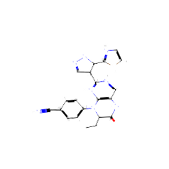 CCC1C(=O)Nc2cnc(C3C=NNC3c3nccs3)nc2N1c1ccc(C#N)cc1